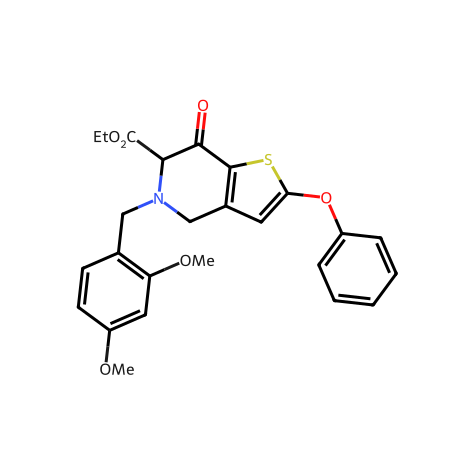 CCOC(=O)C1C(=O)c2sc(Oc3ccccc3)cc2CN1Cc1ccc(OC)cc1OC